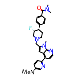 CNc1ccc(-c2ccnc3c2cc(CN2CC[C@H](c4ccc(C(=O)N(C)C)cc4)[C@@H](F)C2)n3C)nc1